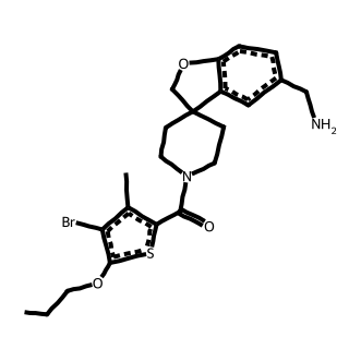 CCCOc1sc(C(=O)N2CCC3(CC2)COc2ccc(CN)cc23)c(C)c1Br